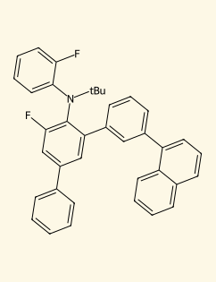 CC(C)(C)N(c1ccccc1F)c1c(F)cc(-c2ccccc2)cc1-c1cccc(-c2cccc3ccccc23)c1